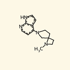 CN1CCC12CCN(c1ccnc3[nH]ccc13)C2